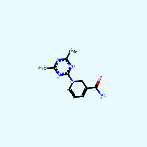 COc1nc(OC)nc(N2C=CC=C(C(N)=O)C2)n1